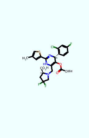 COC(=O)OC1=C(CN2CC(F)(F)C[C@H]2C(=O)O)NC(c2cc(C)cs2)=N[C@@H]1c1ccc(F)cc1Cl